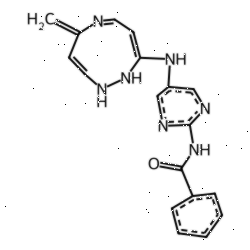 C=C1/C=C\NN/C(Nc2cnc(NC(=O)c3ccccc3)nc2)=C\C=N/1